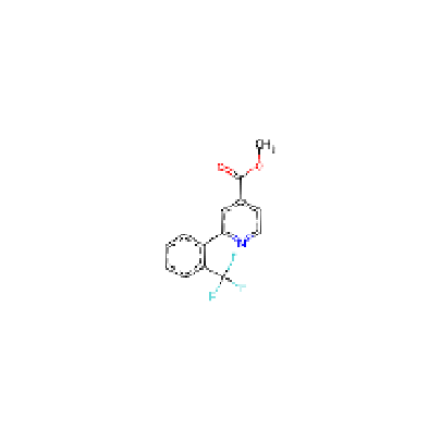 COC(=O)c1ccnc(-c2ccccc2C(F)(F)F)c1